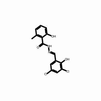 Cc1cccc(O)c1C(=O)N/N=C/c1cc(Cl)cc(Cl)c1O